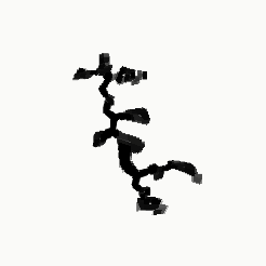 CC(=O)[AsH][C@@H](CSCC(=O)C(=O)OCC(CO[N+](=O)[O-])CO[N+](=O)[O-])C(=O)O